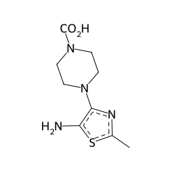 Cc1nc(N2CCN(C(=O)O)CC2)c(N)s1